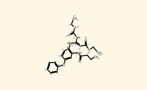 CCCC(=O)Nc1cc(Oc2ccccc2)ccc1NC(=NC(=O)OCC)NC(=O)OCC